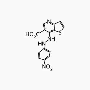 O=C(O)c1cnc2ccsc2c1NNc1ccc([N+](=O)[O-])cc1